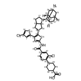 O=C(Nc1nc(-c2cc(Cl)cs2)c(N2CC3CCN(C4[C@H]5C[C@@H]6C[C@@H](C[C@H]4C6)C5)C3C2)s1)c1cnc(N2CCC(C(=O)O)CC2)c(Cl)c1